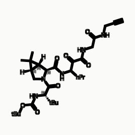 C#CCNC(=O)CNC(=O)C(=O)C(CCC)NC(=O)[C@@H]1[C@@H]2[C@H](CN1C(=O)[C@@H](NC(=O)OC(C)(C)C)C(C)(C)C)C2(C)C